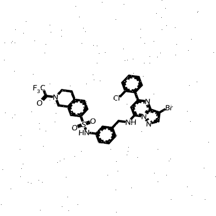 O=C(N1CCc2ccc(S(=O)(=O)Nc3cccc(CNc4cc(-c5ccccc5Cl)nc5c(Br)cnn45)c3)cc2C1)C(F)(F)F